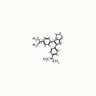 CC(C)c1ccc(-c2nc3n(c2-c2ccc(C(C)C)cc2)CCS3)cc1